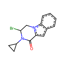 O=C1c2cc3ccccc3n2CC(Br)N1C1CC1